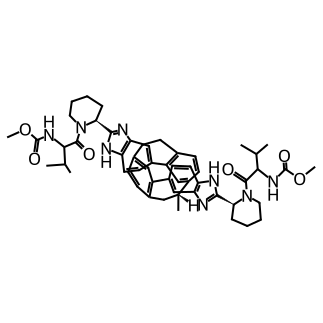 COC(=O)NC(C(=O)N1CCCC[C@H]1c1nc2cc(-c3cc4ccc3CCc3ccc(c(-c5ccc6[nH]c([C@@H]7CCCCN7C(=O)C(NC(=O)OC)C(C)C)nc6c5)c3)C[C@H]4C)ccc2[nH]1)C(C)C